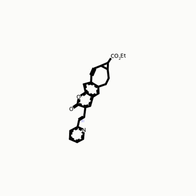 CCOC(=O)C1C2C#Cc3cc4oc(=O)c(/C=C/c5ccccn5)cc4cc3CCC21